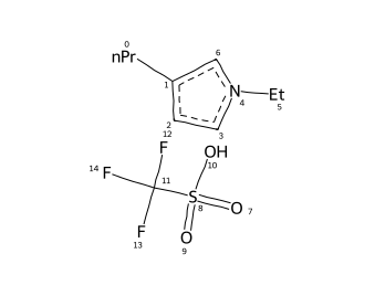 CCCc1ccn(CC)c1.O=S(=O)(O)C(F)(F)F